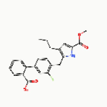 CCCc1cc(C(=O)OC)[nH]c1Cc1ccc(-c2ccccc2C(=O)O)cc1F